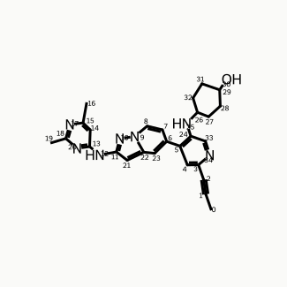 CC#Cc1cc(-c2ccn3nc(Nc4cc(C)nc(C)n4)cc3c2)c(NC2CCC(O)CC2)cn1